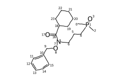 CP(C)(=O)CCCN(OCc1ccccc1)C(=O)C1CCCCC1